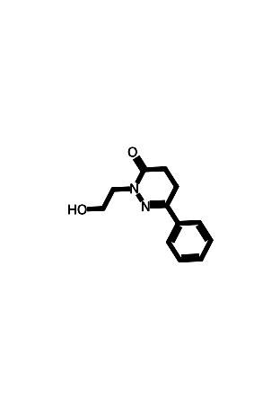 O=C1CCC(c2ccccc2)=NN1CCO